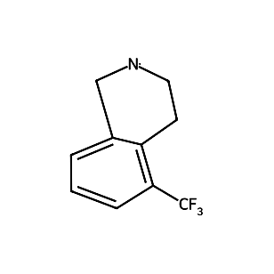 FC(F)(F)c1cccc2c1CC[N]C2